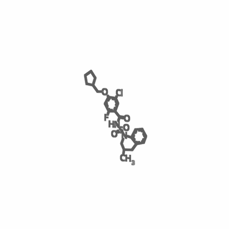 CC1Cc2ccccc2N(S(=O)(=O)NC(=O)c2cc(Cl)c(OCC3CCCC3)cc2F)C1